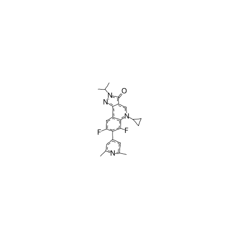 Cc1cc(-c2c(F)cc3c4nn(C(C)C)c(=O)c-4cn(C4CC4)c3c2F)cc(C)n1